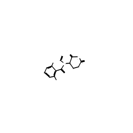 C=CN(C(=O)c1c(C)cccc1F)C1CCC(=O)NC1=O